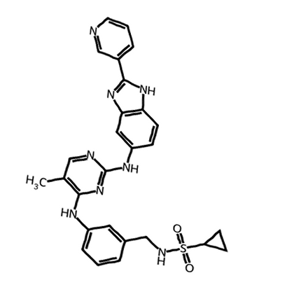 Cc1cnc(Nc2ccc3[nH]c(-c4cccnc4)nc3c2)nc1Nc1cccc(CNS(=O)(=O)C2CC2)c1